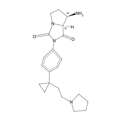 N[C@@H]1CCN2C(=O)N(c3ccc(C4(CCN5CCCC5)CC4)cc3)C(=O)[C@H]12